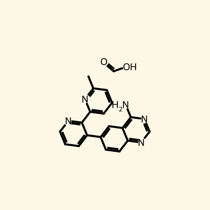 Cc1cccc(-c2ncccc2-c2ccc3ncnc(N)c3c2)n1.O=CO